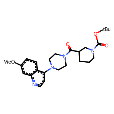 COc1ccc2c(N3CCN(C(=O)C4CCCN(C(=O)OC(C)(C)C)C4)CC3)ccnc2c1